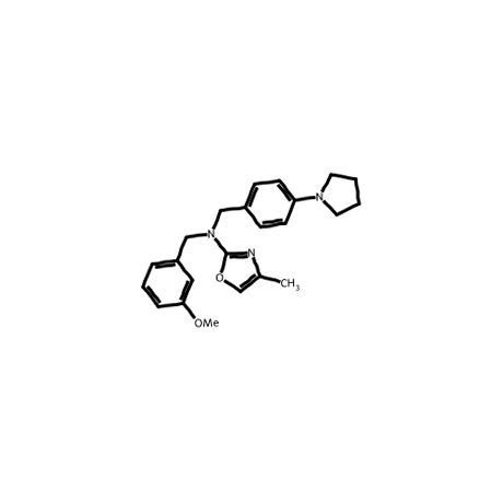 COc1cccc(CN(Cc2ccc(N3CCCC3)cc2)c2nc(C)co2)c1